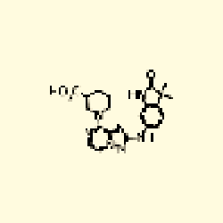 CC1(C)C(=O)Nc2cc(Nc3nc4c(N5CCCC(C(=O)O)C5)nccn4n3)ccc21